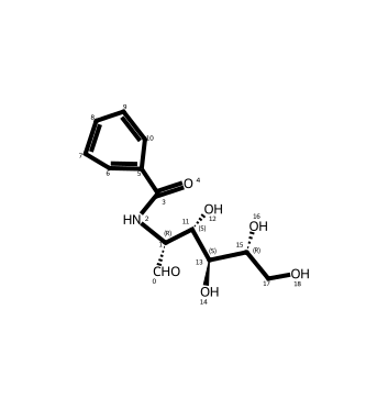 O=C[C@H](NC(=O)c1ccccc1)[C@H](O)[C@H](O)[C@H](O)CO